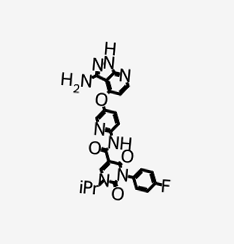 CC(C)n1cc(C(=O)Nc2ccc(Oc3ccnc4[nH]nc(N)c34)cn2)c(=O)n(-c2ccc(F)cc2)c1=O